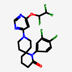 O=C1CCCC2(CCN(c3cc(OC(F)C(F)F)ncn3)CC2)N1c1ccc(F)c(F)c1